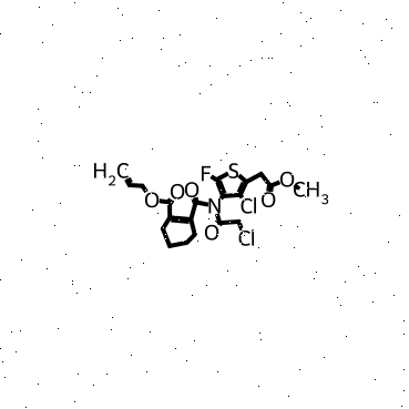 C=CCOC(=O)C1=C(C(=O)N(C(=O)CCl)c2c(F)sc(CC(=O)OC)c2Cl)CCCC1